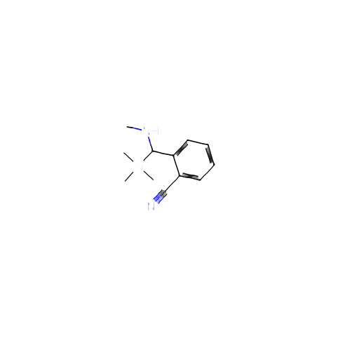 CNC(c1ccccc1C#N)[Si](C)(C)C